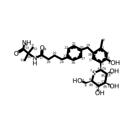 Cc1cc(O)c([C@@H]2S[C@H](CO)[C@@H](O)[C@H](O)[C@H]2O)cc1Cc1ccc(CCCC(=O)NC(C)(C)C(N)=O)cc1